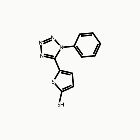 Sc1ccc(-c2nnnn2-c2ccccc2)s1